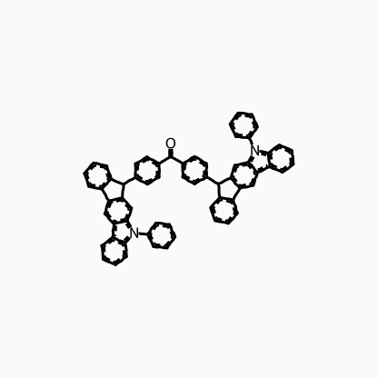 O=C(c1ccc(C2c3ccccc3-c3cc4c5ccccc5n(-c5ccccc5)c4cc32)cc1)c1ccc(C2c3ccccc3-c3cc4c5ccccc5n(-c5ccccc5)c4cc32)cc1